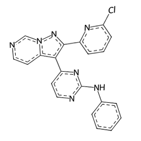 Clc1cccc(-c2nn3cnccc3c2-c2ccnc(Nc3ccccc3)n2)n1